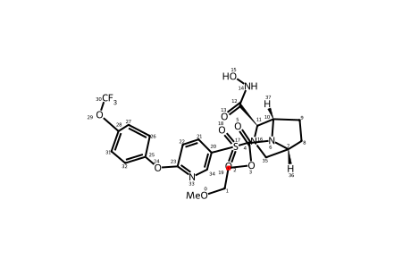 COCCOC(=O)N1[C@@H]2CC[C@H]1[C@H](C(=O)NO)N(S(=O)(=O)c1ccc(Oc3ccc(OC(F)(F)F)cc3)nc1)C2